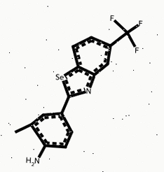 Cc1cc(-c2nc3cc(C(F)(F)F)ccc3[se]2)ccc1N